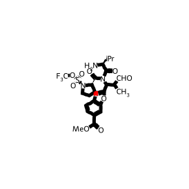 COC(=O)c1ccc2nc(C(C(C)C=O)N(C(=O)[C@@H](N)C(C)C)C(=O)[C@@H]3CCCN3S(=O)(=O)OC(F)(F)F)oc2c1